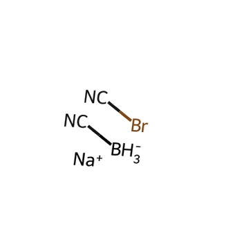 N#CBr.[BH3-]C#N.[Na+]